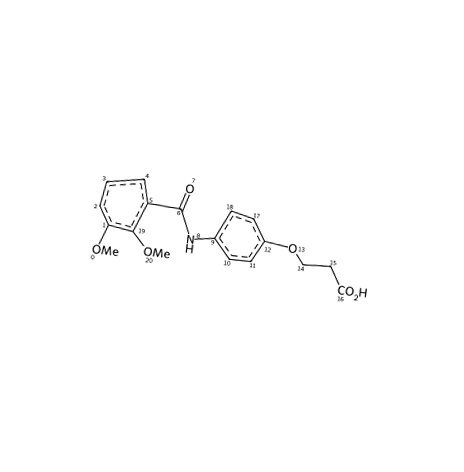 COc1cccc(C(=O)Nc2ccc(OCCC(=O)O)cc2)c1OC